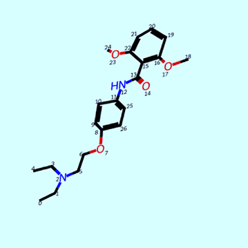 CCN(CC)CCOc1ccc(NC(=O)c2c(OC)cccc2OC)cc1